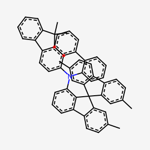 Cc1ccc2c(c1)C1(c3cc(C)ccc3-2)c2cc(C)ccc2-c2cccc(N(c3ccc4c(c3)C(C)(C)c3ccccc3-4)c3ccccc3-c3ccccc3)c21